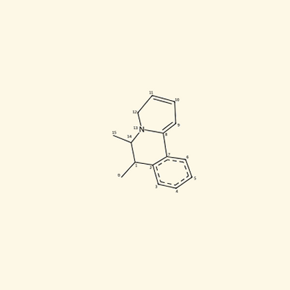 CC1c2ccccc2C2=CC=CCN2C1C